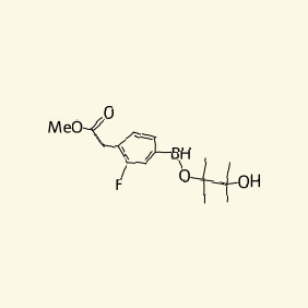 COC(=O)Cc1ccc(BOC(C)(C)C(C)(C)O)cc1F